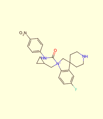 O=C(Nc1ccc([N+](=O)[O-])cc1)[N+]1(CC2CC2)CC2(CCNCC2)c2cc(F)ccc21